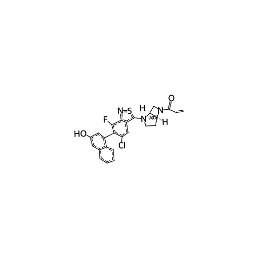 C=CC(=O)N1C[C@H]2[C@@H]1CCN2c1snc2c(F)c(-c3cc(O)cc4ccccc34)c(Cl)cc12